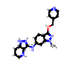 Cn1nc(OCc2ccncc2)c2ccc(Nc3n[nH]c4cccnc34)cc21